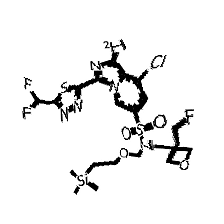 [2H]c1nc(-c2nnc(C(F)F)s2)n2cc(S(=O)(=O)N(COCC[Si](C)(C)C)C3(CF)COC3)cc(Cl)c12